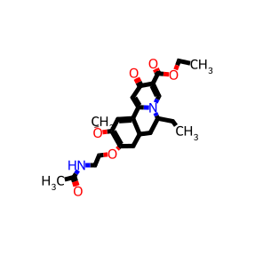 CCOC(=O)c1cn2c(cc1=O)C1=CC(OC)=C(OCCNC(C)=O)CC1CC2CC